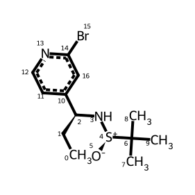 CC[C@H](N[S@+]([O-])C(C)(C)C)c1ccnc(Br)c1